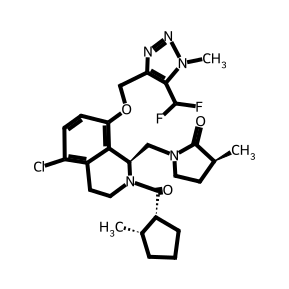 C[C@H]1CCN(C[C@@H]2c3c(OCc4nnn(C)c4C(F)F)ccc(Cl)c3CCN2C(=O)[C@@H]2CCC[C@@H]2C)C1=O